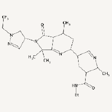 CCNC(=O)C1CC(C2CC(C)C3C(=O)N(C4C=NN(CC(F)(F)F)C4)C(C)(C)C3=N2)C=NC1C